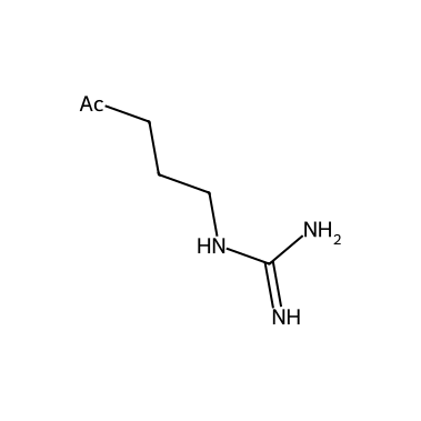 CC(=O)CCCNC(=N)N